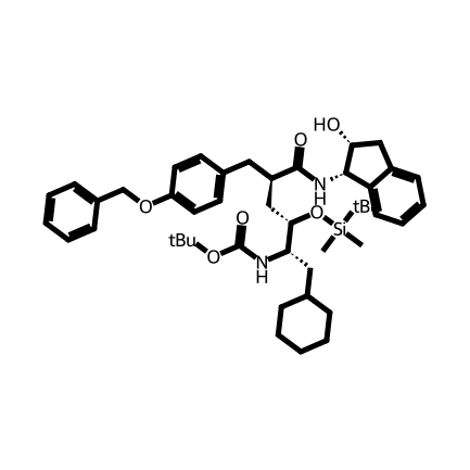 CC(C)(C)OC(=O)N[C@@H](CC1CCCCC1)[C@H](C[C@@H](Cc1ccc(OCc2ccccc2)cc1)C(=O)N[C@H]1c2ccccc2C[C@H]1O)O[Si](C)(C)C(C)(C)C